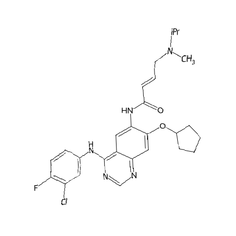 CC(C)N(C)CC=CC(=O)Nc1cc2c(Nc3ccc(F)c(Cl)c3)ncnc2cc1OC1CCCC1